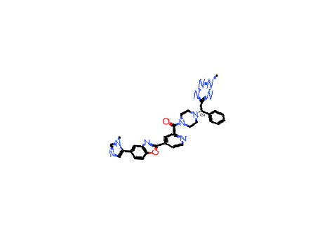 Cn1nnc([C@H](c2ccccc2)N2CCN(C(=O)c3cc(-c4nc5cc(-c6cncn6C)ccc5o4)ccn3)CC2)n1